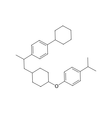 CC(C)c1ccc(OC2CCC(CC(C)c3ccc(C4CCCCC4)cc3)CC2)cc1